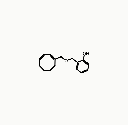 Oc1ccccc1COCC1=CC=CCCCC1